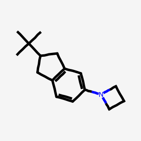 CC(C)(C)C1Cc2ccc(N3CCC3)cc2C1